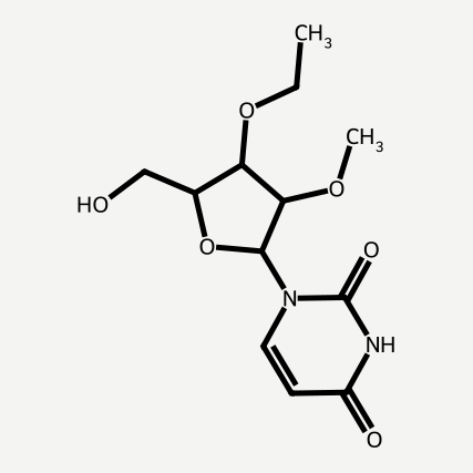 CCOC1C(CO)OC(n2ccc(=O)[nH]c2=O)C1OC